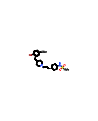 CNS(=O)(=O)N[C@H]1CC[C@H](CCCN2CCC(Cc3cc(OC)ccc3Br)CC2)CC1